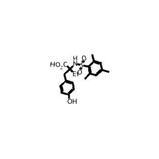 CCC(Cc1ccc(O)cc1)(NS(=O)(=O)c1c(C)cc(C)cc1C)C(=O)O